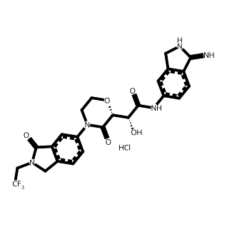 Cl.N=C1NCc2cc(NC(=O)[C@H](O)[C@H]3OCCN(c4ccc5c(c4)C(=O)N(CC(F)(F)F)C5)C3=O)ccc21